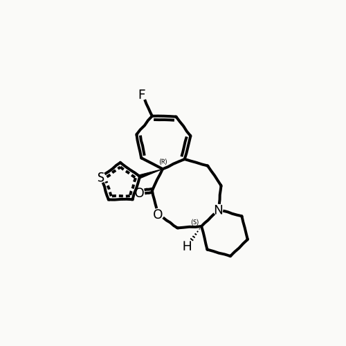 O=C1OC[C@@H]2CCCCN2CCC2=CC=C(F)C=C[C@@]12c1ccsc1